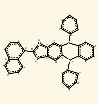 c1ccc(N2c3ccccc3N(c3ccccc3)c3cc4oc(-c5cccc6ccccc56)nc4cc32)cc1